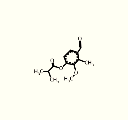 COc1c(OC(=O)C(C)C)ccc(C=O)c1C